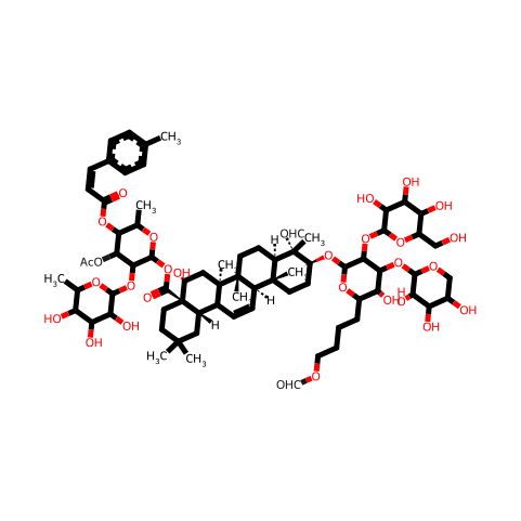 CC(=O)OC1C(OC(=O)/C=C\c2ccc(C)cc2)C(C)OC(OC(=O)[C@]23CCC(C)(C)C[C@H]2C2C=C[C@@H]4[C@@]5(C)CC[C@H](OC6OC(CCCCOC=O)C(O)C(OC7OCC(O)C(O)C7O)C6OC6OC(CO)C(O)C(O)C6O)[C@@](C)(C=O)[C@@H]5CC[C@@]4(C)[C@]2(C)C[C@H]3O)C1OC1OC(C)C(O)C(O)C1O